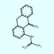 C=C(C)Nc1nccc2c1C(=C)c1ccccc1C2